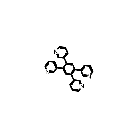 c1cncc(-c2cc(-c3cccnc3)c(-c3cccnc3)cc2-c2cccnc2)c1